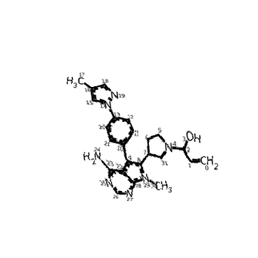 C=CC(O)N1CCC(c2c(-c3ccc(-n4cc(C)cn4)cc3)c3c(N)ncnc3n2C)C1